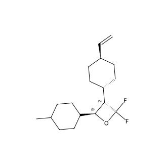 C=C[C@H]1CC[C@H]([C@H]2[C@H](C3CCC(C)CC3)OC2(F)F)CC1